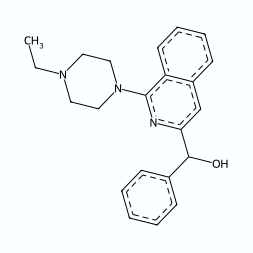 CCN1CCN(c2nc(C(O)c3ccccc3)cc3ccccc23)CC1